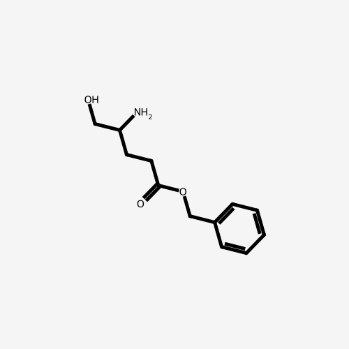 NC(CO)CCC(=O)OCc1ccccc1